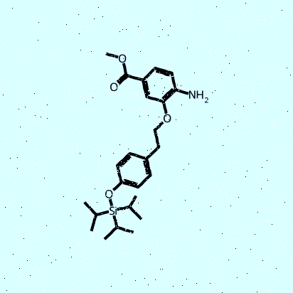 COC(=O)c1ccc(N)c(OCCc2ccc(O[Si](C(C)C)(C(C)C)C(C)C)cc2)c1